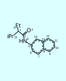 CCC(C(=O)Nc1ccc2ccccc2c1)C(C)C